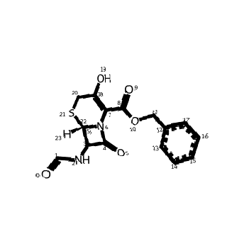 O=CNC1C(=O)N2C(C(=O)OCc3ccccc3)=C(O)CS[C@@H]12